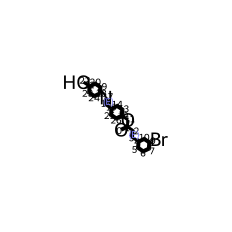 O=C(/C=C/c1cccc(Br)c1)Oc1ccc(/C=N/c2ccc(O)cc2)cc1